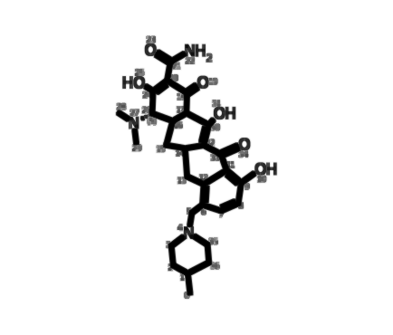 CC1CCN(Cc2ccc(O)c3c2CC2CC4C(C(=O)C(C(N)=O)=C(O)[C@H]4N(C)C)C(O)=C2C3=O)CC1